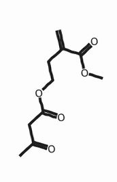 C=C(CCOC(=O)CC(C)=O)C(=O)OC